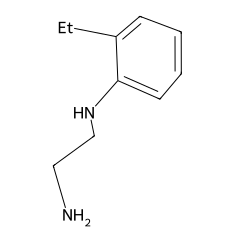 [CH2]Cc1ccccc1NCCN